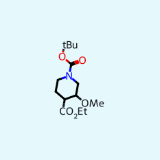 CCOC(=O)C1CCN(C(=O)OC(C)(C)C)CC1OC